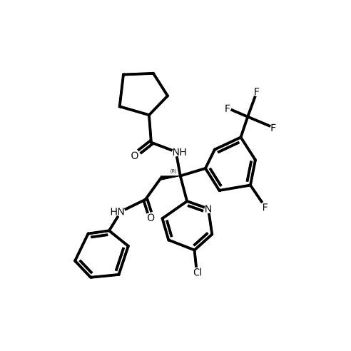 O=C(C[C@@](NC(=O)C1CCCC1)(c1cc(F)cc(C(F)(F)F)c1)c1ccc(Cl)cn1)Nc1ccccc1